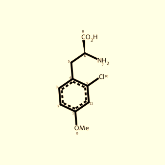 COc1ccc(C[C@H](N)C(=O)O)c(Cl)c1